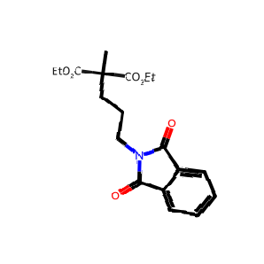 CCOC(=O)C(C)(CCCN1C(=O)c2ccccc2C1=O)C(=O)OCC